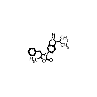 CC(C)C1NCc2cc(N3C(=O)OC(C)C3Cc3ccccc3)ccc21